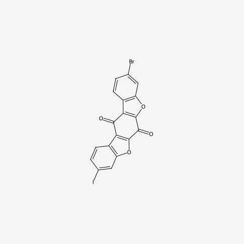 O=C1c2oc3cc(Br)ccc3c2C(=O)c2c1oc1cc(I)ccc21